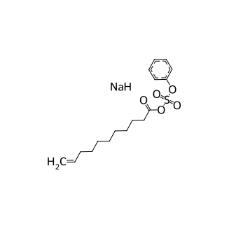 C=CCCCCCCCCC(=O)OS(=O)(=O)Oc1ccccc1.[NaH]